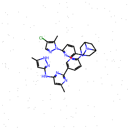 Cc1cc(Nc2cc(C)[nH]n2)nc(-c2ccc(N3CC4CC(C3)N4Cc3ccc(-n4ncc(Cl)c4C)nc3)nc2)n1